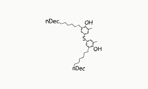 CCCCCCCCCCCCCCCCc1cc(Sc2cc(C)c(O)c(CCCCCCCCCCCCCCCC)c2)cc(C)c1O